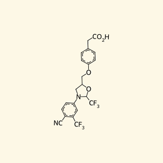 N#Cc1ccc(N2CC(COc3ccc(CC(=O)O)cc3)OC2C(F)(F)F)cc1C(F)(F)F